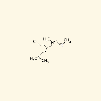 C/C=C\CN(C)CC(CCCl)CCN(C)C